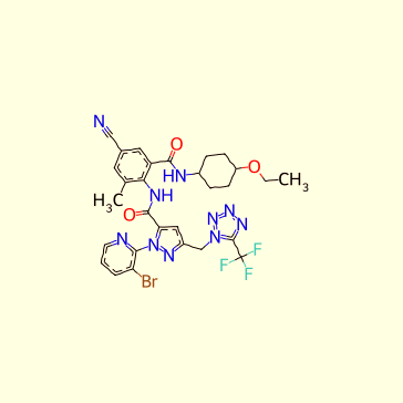 CCOC1CCC(NC(=O)c2cc(C#N)cc(C)c2NC(=O)c2cc(Cn3nnnc3C(F)(F)F)nn2-c2ncccc2Br)CC1